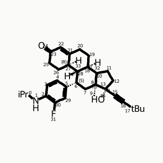 CC(C)Nc1ccc([C@H]2C[C@@]3(C)C(CC[C@@]3(O)C#CC(C)(C)C)[C@@H]3CCC4=CC(=O)CC[C@@H]4[C@@H]23)cc1F